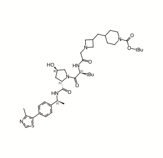 Cc1ncsc1-c1ccc([C@H](C)NC(=O)[C@@H]2C[C@@H](O)CN2C(=O)[C@@H](NC(=O)CN2CC(CC3CCN(C(=O)OC(C)(C)C)CC3)C2)C(C)(C)C)cc1